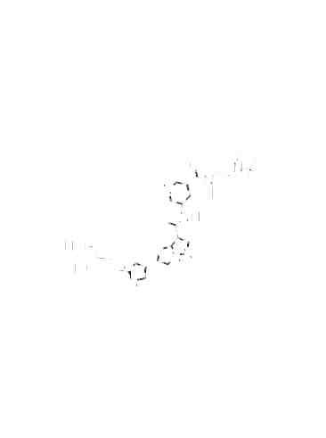 Cc1ncc(C(=O)NCCN2CCCC2(C)C)cc1NC(=O)c1cnn2cc(-c3cnn(CCC(O)CO)c3)sc12